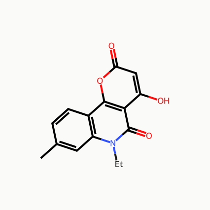 CCn1c(=O)c2c(O)cc(=O)oc2c2ccc(C)cc21